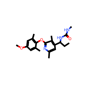 CCC(NC(=O)NC)c1cc(C)nc(Oc2c(C)cc(OC)cc2C)c1C